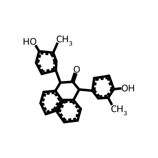 Cc1cc(C(C(=O)C(c2ccccc2)c2ccc(O)c(C)c2)c2ccccc2)ccc1O